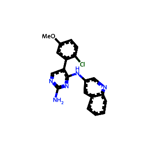 COc1ccc(Cl)c(-c2cnc(N)nc2Nc2cnc3ccccc3c2)c1